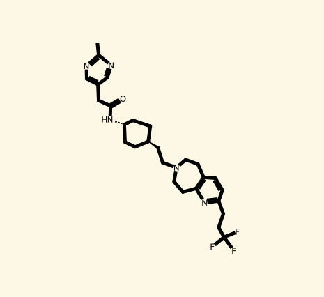 Cc1ncc(CC(=O)N[C@H]2CC[C@H](CCN3CCc4ccc(CCC(F)(F)F)nc4CC3)CC2)cn1